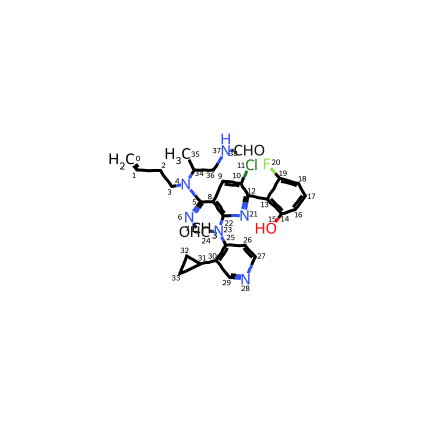 C=CCCN(/C(=N/C)c1cc(Cl)c(-c2c(O)cccc2F)nc1N(C=O)c1ccncc1C1CC1)C(C)CNC=O